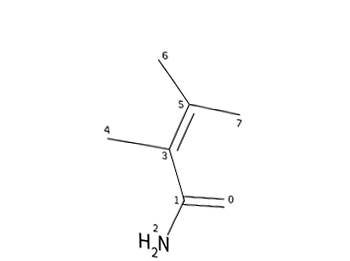 C=C(N)C(C)=C(C)C